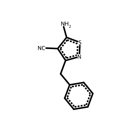 N#Cc1c(Cc2ccccc2)nsc1N